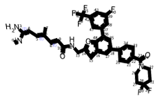 C=N\C(N)=C/C=C(C)/C=C/C(=O)NCc1cc2cc(-c3ccc(C(=O)N4CCC(F)(F)CC4)cc3)cc(-c3cc(F)cc(C(F)(F)F)c3)c2o1